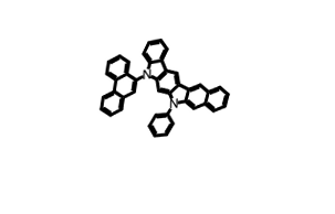 c1ccc(-n2c3cc4ccccc4cc3c3cc4c5ccccc5n(-c5cc6ccccc6c6ccccc56)c4cc32)cc1